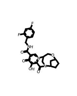 O=C(NCc1ccc(F)cc1F)c1cn2c(c(O)c1=O)C(=O)N1CC2COC2CCC1C2